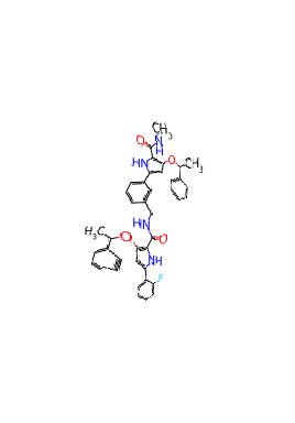 CNC(=O)c1[nH]c(-c2cccc(CNC(=O)c3[nH]c(-c4ccccc4F)cc3OC(C)c3ccccc3)c2)cc1OC(C)c1ccccc1